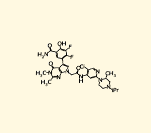 Cc1nc2c(c(-c3cc(C(N)=O)c(O)c(F)c3F)cn2CC(=O)Nc2cc(N3CCN(C(C)C)C[C@@H]3C)ncc2Cl)c(=O)n1C